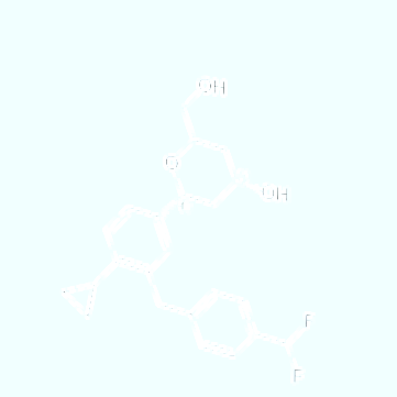 OCC1C[C@H](O)C[C@H](c2ccc(C3CC3)c(Cc3ccc(C(F)F)cc3)c2)O1